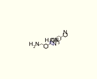 C/C=C(\C=N/C(C)N1CC=C(c2cccnc2)CC1)c1cccc(CCN)c1